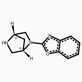 c1ccc2oc(N3C[C@@H]4C[C@H]3CN4)nc2c1